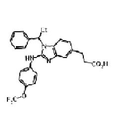 CC[C@H](c1ccccc1)n1c(Nc2ccc(OC(F)(F)F)cc2)nc2cc(CCC(=O)O)ccc21